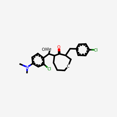 COC(c1ccc(N(C)C)cc1Cl)C1CCCCCC(Cc2ccc(Cl)cc2)C1=O